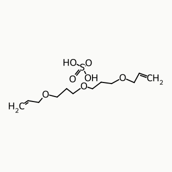 C=CCOCCCOCCCOCC=C.O=S(=O)(O)O